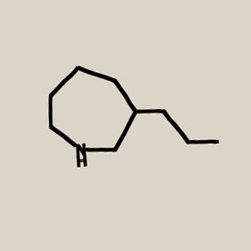 CCCC1CCCCNC1